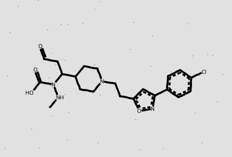 CNN(C(=O)O)C(CC=O)C1CCN(CCc2cc(-c3ccc(Cl)cc3)no2)CC1